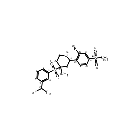 CC1(S(=O)(=O)c2cccc(C(F)F)c2)CCOC(c2ccc(S(C)(=O)=O)cc2F)C1